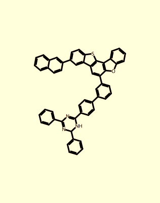 c1ccc(C2=NC(c3ccccc3)NC(c3ccc(-c4cccc(-c5cc6c7cc(-c8ccc9ccccc9c8)ccc7sc6c6c5oc5ccccc56)c4)cc3)=N2)cc1